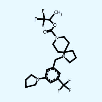 CC(OC(=O)N1CCC2(CCCN2Cc2cc(N3CCCC3)cc(C(F)(F)F)c2)CC1)C(F)(F)F